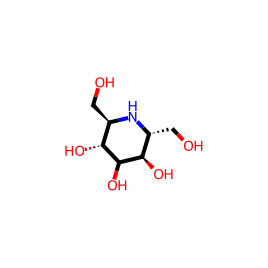 OC[C@H]1N[C@H](CO)[C@@H](O)C(O)[C@@H]1O